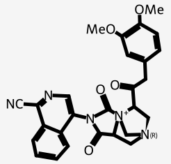 COc1ccc(CC(=O)C2C[N@@]3CC4C(=O)N(c5cnc(C#N)c6ccccc56)C(=O)[N+]24C3)cc1OC